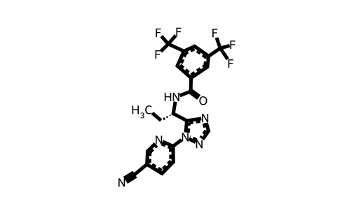 CC[C@H](NC(=O)c1cc(C(F)(F)F)cc(C(F)(F)F)c1)c1ncnn1-c1ccc(C#N)cn1